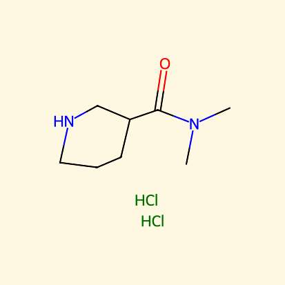 CN(C)C(=O)C1CCCNC1.Cl.Cl